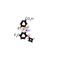 CCc1ccc(C(=O)O)cc1S(=O)(=O)Nc1cc(C(F)(F)F)ccc1OC1CCC1